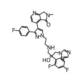 CN1Cc2nccc(-c3cn(CCNC[C@@](O)(Cn4cncn4)c4ccc(F)cc4F)nc3-c3ccc(F)cc3)c2C1=O